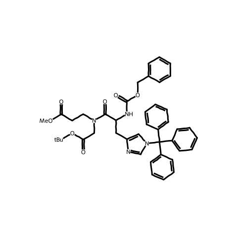 COC(=O)CCN(CC(=O)OC(C)(C)C)C(=O)C(Cc1cn(C(c2ccccc2)(c2ccccc2)c2ccccc2)cn1)NC(=O)OCc1ccccc1